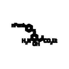 CCCCCc1ccc(Sc2cc(N)c(O)c(C=C(C)C(=O)OCC)c2)cc1